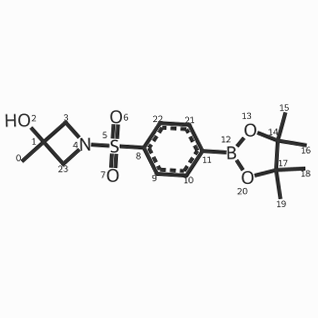 CC1(O)CN(S(=O)(=O)c2ccc(B3OC(C)(C)C(C)(C)O3)cc2)C1